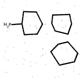 C1CCCCC1.C1CCCCC1.PC1CCCCC1